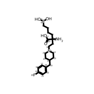 NC(CCCCB(O)O)(CCN1CCC(Cc2ccc(F)cc2)CC1)C(=O)O